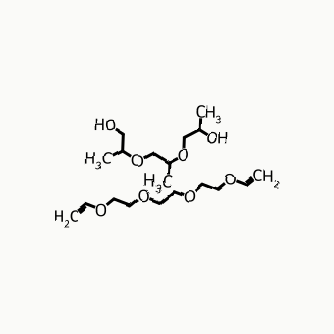 C=COCCOCCOCCOC=C.CC(O)COC(C)COC(C)CO